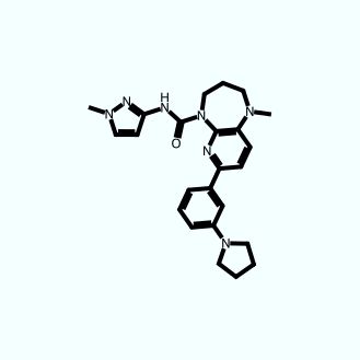 CN1CCCN(C(=O)Nc2ccn(C)n2)c2nc(-c3cccc(N4CCCC4)c3)ccc21